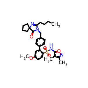 CCCCC1=NC2(CCCC2)C(=O)N1Cc1ccc(-c2cc(OC)ccc2S(=O)(=O)Nc2onc(C)c2C)cc1